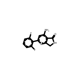 Nc1cc(-c2c(F)cccc2F)nc2c1C(=O)NC2